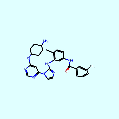 Cc1ccc(NC(=O)c2cccc(C(F)(F)F)c2)cc1Nc1nccn1-c1cc(NC2CCC(N)CC2)ncn1